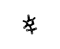 Cn1cc(S(=O)(=O)Cl)c(=O)n(C)c1=O